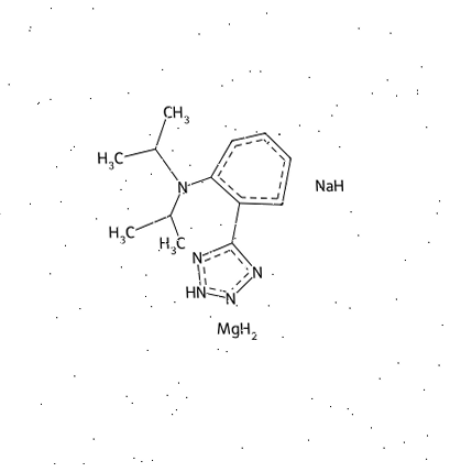 CC(C)N(c1ccccc1-c1nn[nH]n1)C(C)C.[MgH2].[NaH]